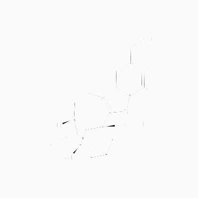 CCc1ccc2c(c1)c1c(n2C)[C@@H]2CC3C[C@H](CC)C2[C@@H](CC1)C3